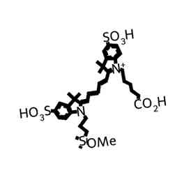 CO[Si](C)(C)CCCN1/C(=C/C=C/C=C/C2=[N+](CCCCCC(=O)O)c3ccc(S(=O)(=O)O)cc3C2(C)C)C(C)(C)c2cc(S(=O)(=O)O)ccc21